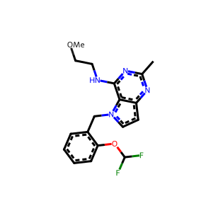 COCCNc1nc(C)nc2ccn(Cc3ccccc3OC(F)F)c12